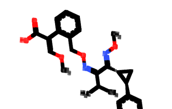 CO/C=C(/C(=O)O)c1ccccc1CON=C(C(=NOC)[C@@H]1C[C@H]1c1ccccc1)C(C)C